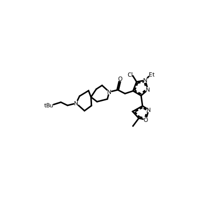 CCn1nc(-c2cc(C)on2)c(CC(=O)N2CCC3(CCN(CCC(C)(C)C)CC3)CC2)c1Cl